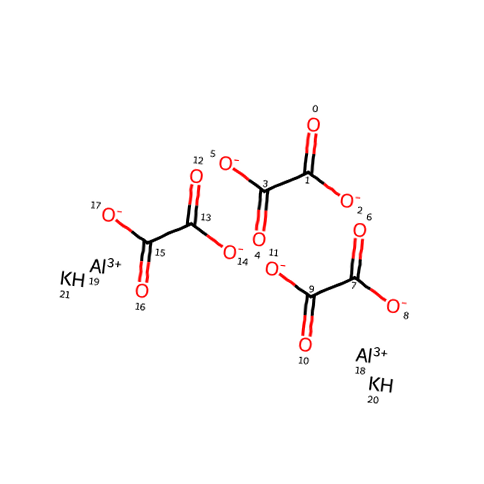 O=C([O-])C(=O)[O-].O=C([O-])C(=O)[O-].O=C([O-])C(=O)[O-].[Al+3].[Al+3].[KH].[KH]